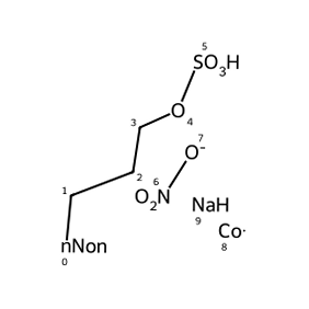 CCCCCCCCCCCCOS(=O)(=O)O.O=[N+]([O-])[O-].[Co].[NaH]